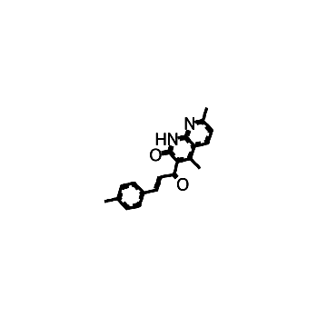 Cc1ccc(C=CC(=O)c2c(C)c3ccc(C)nc3[nH]c2=O)cc1